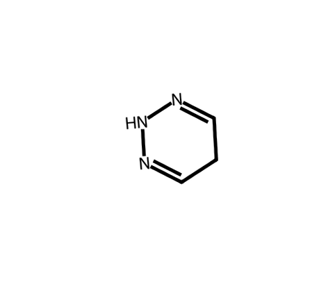 C1=NNN=CC1